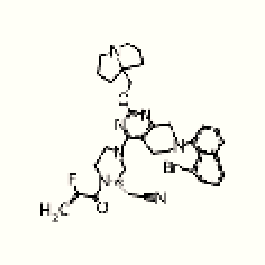 C=C(F)C(=O)N1CCN(c2nc(OCC34CCCN3CCC4)nc3c2CCN(c2cccc4cccc(Br)c24)C3)C[C@@H]1CC#N